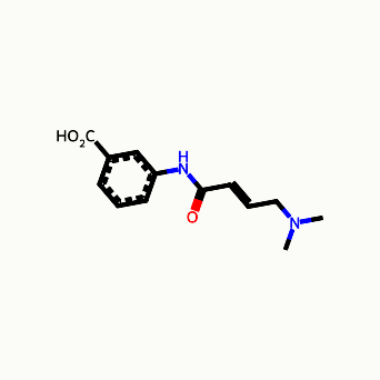 CN(C)CC=CC(=O)Nc1cccc(C(=O)O)c1